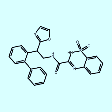 O=C(NCC(c1ncco1)c1ccccc1-c1ccccc1)C1=Nc2ccccc2S(=O)(=O)N1